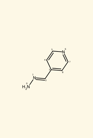 NN=Cc1ccncc1